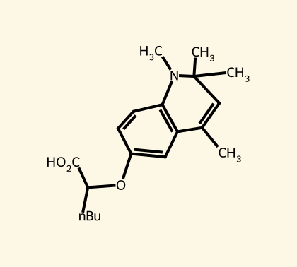 CCCCC(Oc1ccc2c(c1)C(C)=CC(C)(C)N2C)C(=O)O